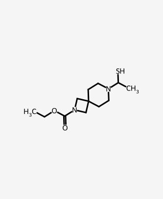 CCOC(=O)N1CC2(CCN(C(C)S)CC2)C1